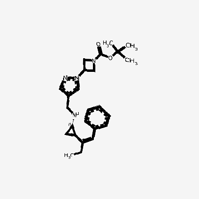 CCC(=Cc1ccccc1)C1C[C@@H]1NCc1cnn(C2CN(C(=O)OC(C)(C)C)C2)c1